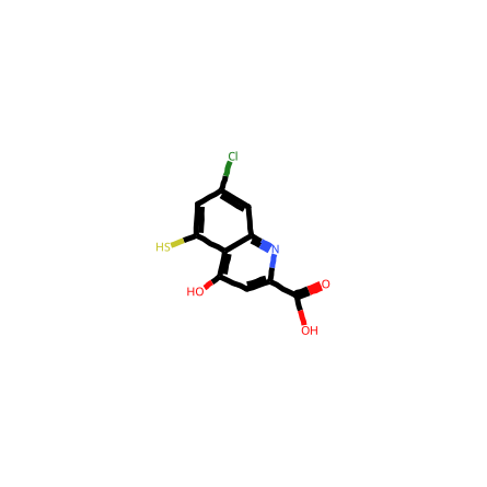 O=C(O)c1cc(O)c2c(S)cc(Cl)cc2n1